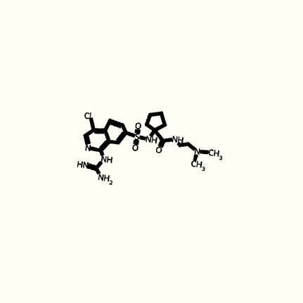 CN(C)CCNC(=O)C1(NS(=O)(=O)c2ccc3c(Cl)cnc(NC(=N)N)c3c2)CCCC1